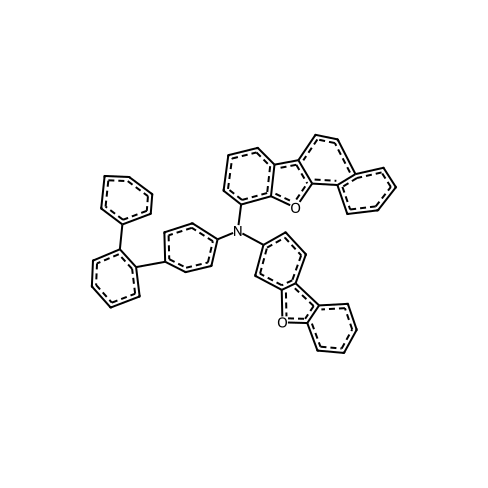 c1ccc(-c2ccccc2-c2ccc(N(c3ccc4c(c3)oc3ccccc34)c3cccc4c3oc3c5ccccc5ccc43)cc2)cc1